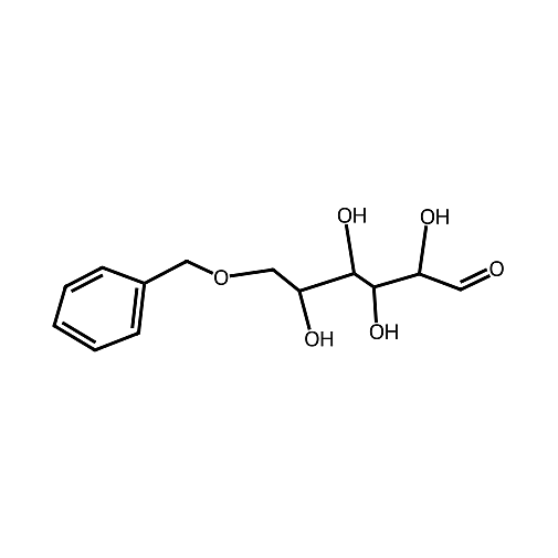 O=CC(O)C(O)C(O)C(O)COCc1ccccc1